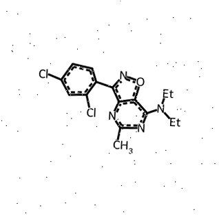 CCN(CC)c1nc(C)nc2c(-c3ccc(Cl)cc3Cl)noc12